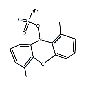 CCCS(=O)(=O)ON1c2cccc(C)c2Oc2cccc(C)c21